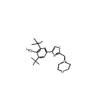 CC(C)(C)c1cc(-c2csc(CN3CCOCC3)n2)cc(C(C)(C)C)c1O